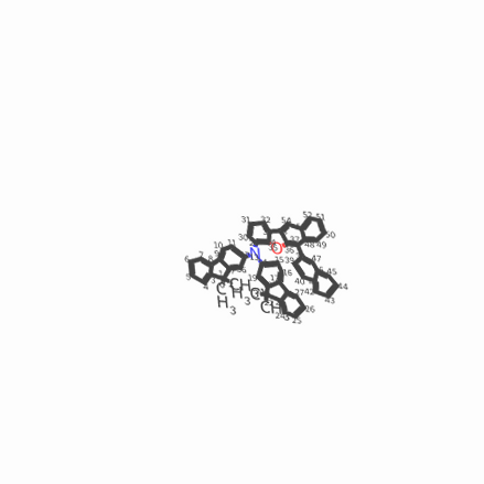 CC1(C)c2ccccc2-c2ccc(N(c3ccc4c(c3)C(C)(C)c3ccccc3-4)c3cccc4c3oc3c(-c5ccc6ccccc6c5)c5ccccc5cc34)cc21